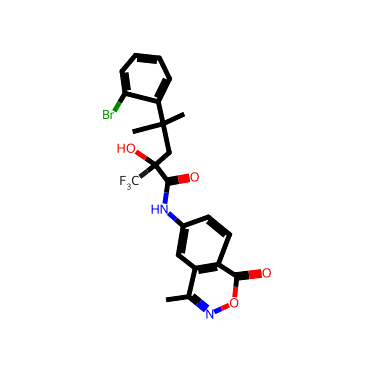 Cc1noc(=O)c2ccc(NC(=O)C(O)(CC(C)(C)c3ccccc3Br)C(F)(F)F)cc12